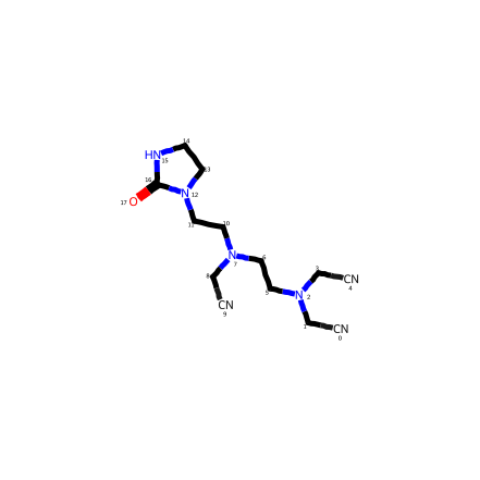 N#CCN(CC#N)CCN(CC#N)CCN1CCNC1=O